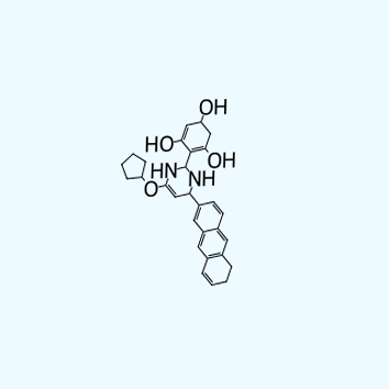 OC1=CC(O)CC(O)=C1C1NC(OC2CCCC2)=CC(c2ccc3cc4c(cc3c2)C=CCC4)N1